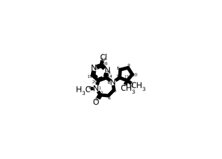 CN1C(=O)CCN(C2CCCC2(C)C)c2nc(Cl)ncc21